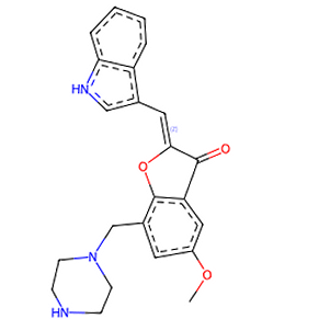 COc1cc(CN2CCNCC2)c2c(c1)C(=O)/C(=C/c1c[nH]c3ccccc13)O2